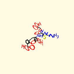 Nc1nc(/C(=N/OCC(=O)O)C(=O)N[C@H]2Cc3cccc(C(=O)O)c3OB2O)cs1